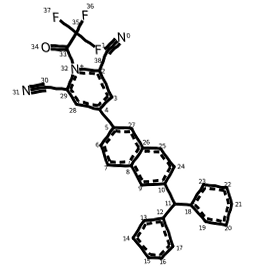 N#Cc1cc(-c2ccc3cc(C(c4ccccc4)c4ccccc4)ccc3c2)cc(C#N)[n+]1C(=O)C(F)(F)F